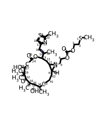 CSCCOC(=O)OCC[N@@]1C2CC(/C(C)=C/c3csc(C)n3)OC(=O)C[C@H](O)C(C)(C)C(=O)[C@H](C)[C@@H](O)[C@@H](C)CCC[C@H]21